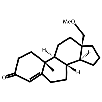 COC[C@@]12CCC[C@H]1[C@@H]1CCC3=CC(=O)CC[C@]3(C)[C@H]1CC2